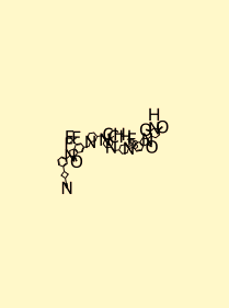 CC1(C)CN(CC2CCN(c3ccc4c(c3F)CN(C3CCC(=O)NC3=O)C4=O)CC2)CCN1CC1CCCN(Cc2cc3c(c(C(F)(F)F)c2)CN(c2cccc(C4CC(C#N)C4)c2)C3=O)C1